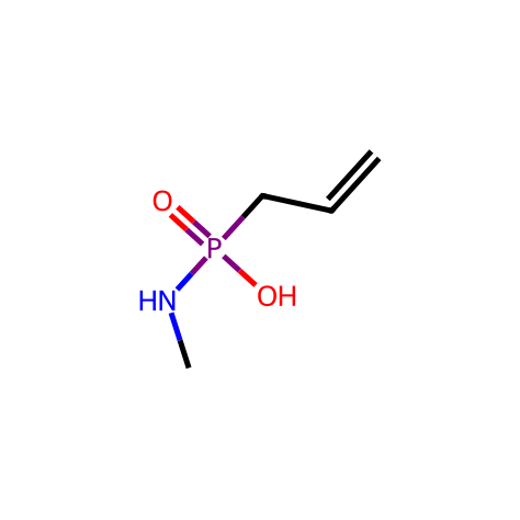 C=CCP(=O)(O)NC